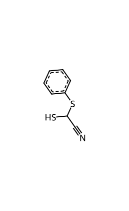 N#CC(S)Sc1ccccc1